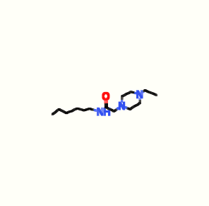 CCCCCCNC(=O)CN1CCN(CC)CC1